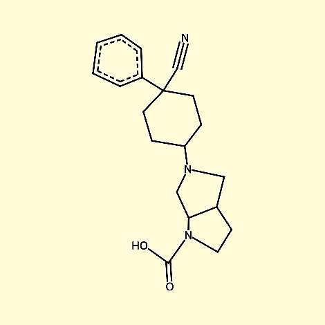 N#CC1(c2ccccc2)CCC(N2CC3CCN(C(=O)O)C3C2)CC1